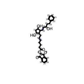 O=C(CCC/C=C/CC1C(O)CC(O)C1/C=C/C(O)CCc1ccccc1)ON1C(=O)c2ccccc2C1=O